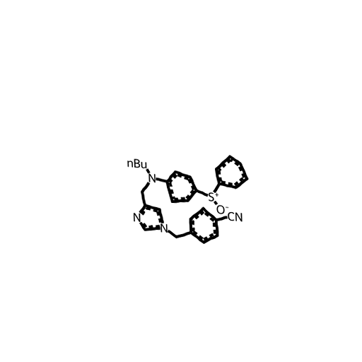 CCCCN(Cc1cn(Cc2ccc(C#N)cc2)cn1)c1ccc([S+]([O-])c2ccccc2)cc1